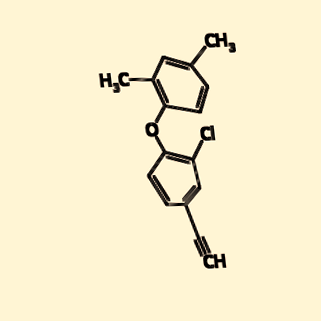 C#Cc1ccc(Oc2ccc(C)cc2C)c(Cl)c1